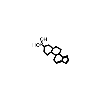 OB(O)C1CCC2C(CCC3C4=CC=CC4=CCC32)C1